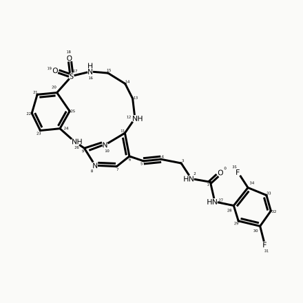 O=C(NCC#Cc1cnc2nc1NCCCNS(=O)(=O)c1cccc(c1)N2)Nc1cc(F)ccc1F